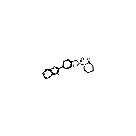 O=C1CCCCN1P(=O)(O)Cc1ccc(-c2nc3ccccc3s2)cc1